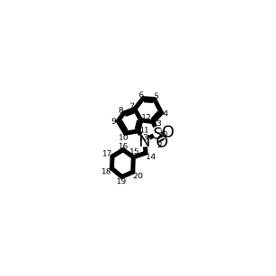 O=S1(=O)c2cccc3cccc(c23)N1CC1CCCCC1